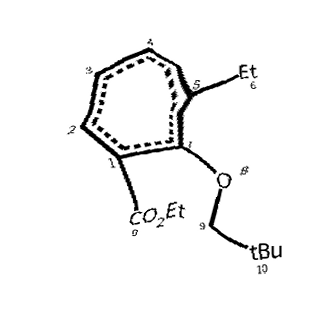 CCOC(=O)c1cccc(CC)c1OCC(C)(C)C